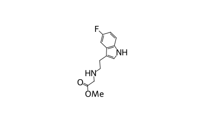 COC(=O)CNCCc1c[nH]c2ccc(F)cc12